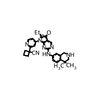 CCn1c(=O)c2cnc(Nc3ccc4c(c3)CNCC4(C)C)nc2n1-c1ccnc(C2(C#N)CCC2)c1